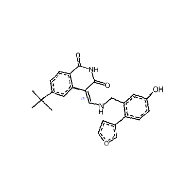 CC(C)(C)c1ccc2c(c1)/C(=C/NCc1cc(O)ccc1-c1ccoc1)C(=O)NC2=O